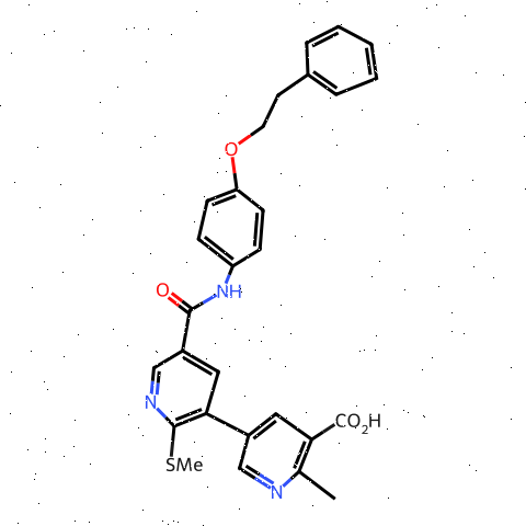 CSc1ncc(C(=O)Nc2ccc(OCCc3ccccc3)cc2)cc1-c1cnc(C)c(C(=O)O)c1